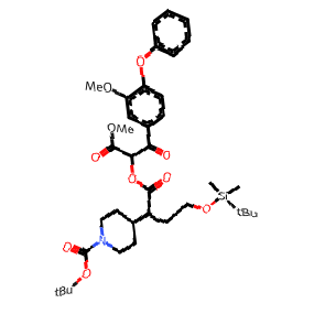 COC(=O)C(OC(=O)C(CCO[Si](C)(C)C(C)(C)C)C1CCN(C(=O)OC(C)(C)C)CC1)C(=O)c1ccc(Oc2ccccc2)c(OC)c1